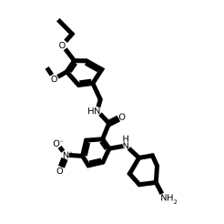 CCOc1ccc(CNC(=O)c2cc([N+](=O)[O-])ccc2NC2CCC(N)CC2)cc1OC